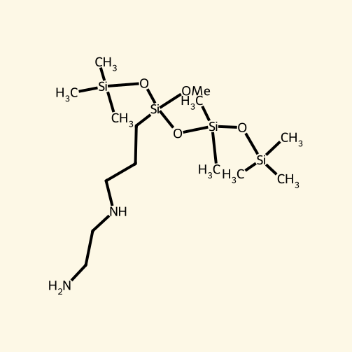 CO[Si](CCCNCCN)(O[Si](C)(C)C)O[Si](C)(C)O[Si](C)(C)C